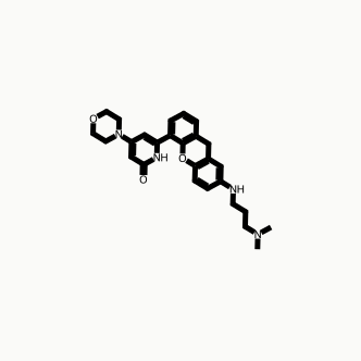 CN(C)CCCNc1ccc2c(c1)Cc1cccc(-c3cc(N4CCOCC4)cc(=O)[nH]3)c1O2